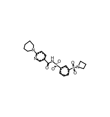 O=C(NS(=O)(=O)c1cccc(S(=O)(=O)N2CCC2)c1)c1ccc(N2CCCCC2)nc1